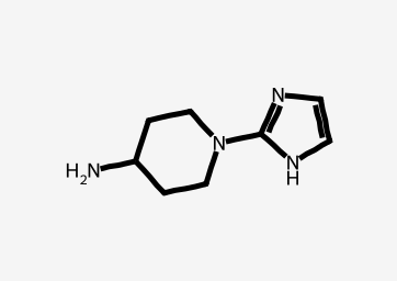 NC1CCN(c2ncc[nH]2)CC1